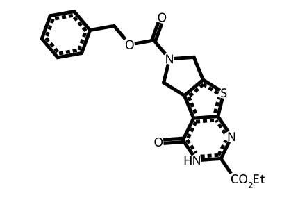 CCOC(=O)c1nc2sc3c(c2c(=O)[nH]1)CN(C(=O)OCc1ccccc1)C3